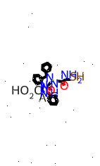 CC(=O)N(Cc1ccccc1)C(C(=O)O)N1C(=O)C(NCC(=O)C(N)CS)N=C(c2ccccc2)c2ccccc21